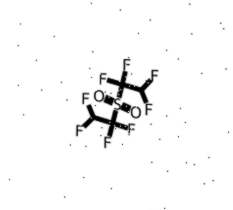 O=S(=O)(C(F)(F)C(F)F)C(F)(F)C(F)F